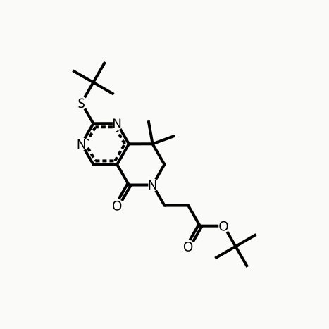 CC(C)(C)OC(=O)CCN1CC(C)(C)c2nc(SC(C)(C)C)ncc2C1=O